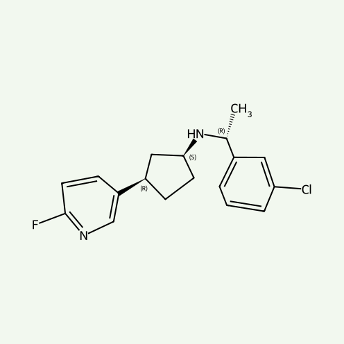 C[C@@H](N[C@H]1CC[C@@H](c2ccc(F)nc2)C1)c1cccc(Cl)c1